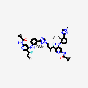 COc1c(Nc2cc(NC(=O)C3CC3)ncc2C(F)CC(C)C)cccc1-c1ncn(CCC(C)C(F)c2cnc(NC(=O)C3CC3)cc2Nc2cccc(-c3ncn(C)n3)c2OC)n1